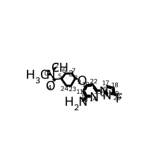 CN(C)C(=O)[C@H]1CC[C@@H](Oc2cc(N)nc(-n3ccc(F)n3)c2)CC1